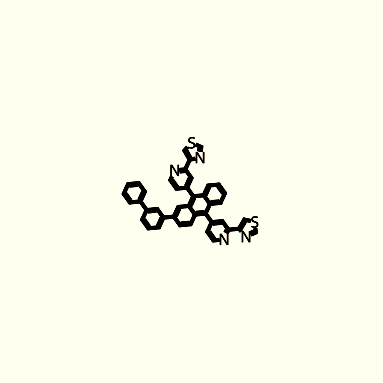 c1ccc(-c2cccc(-c3ccc4c(-c5ccnc(-c6cscn6)c5)c5ccccc5c(-c5ccnc(-c6cscn6)c5)c4c3)c2)cc1